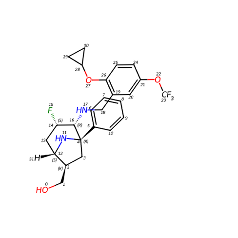 OC[C@@H]1C[C@]2(c3ccccc3)N[C@H]1C[C@H](F)[C@@H]2NCc1cc(OC(F)(F)F)ccc1OC1CC1